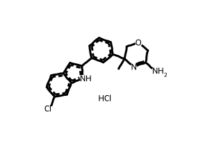 CC1(c2cccc(-c3cc4ccc(Cl)cc4[nH]3)c2)COCC(N)=N1.Cl